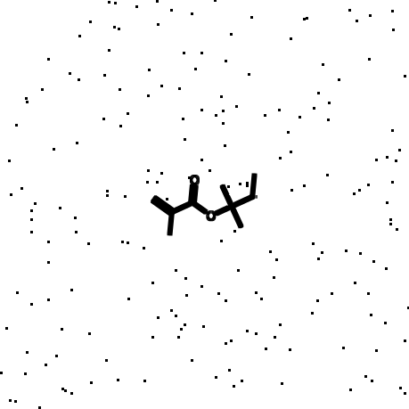 C=C(C)C(=O)OC(C)(C)[CH]C